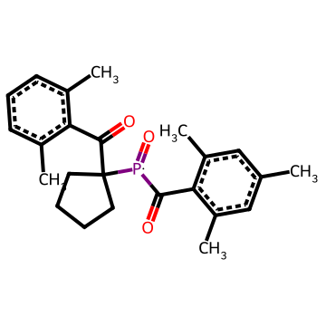 Cc1cc(C)c(C(=O)[P](=O)C2(C(=O)c3c(C)cccc3C)CCCC2)c(C)c1